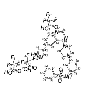 O=C(O)C(F)(F)F.O=C(O)C(F)(F)F.O=C(O)C(F)(F)F.O=S(=O)(Nc1cccc(N2CCN(c3ncnc4ccc(-c5cn[nH]c5)cc34)CC2)c1)c1ccccc1